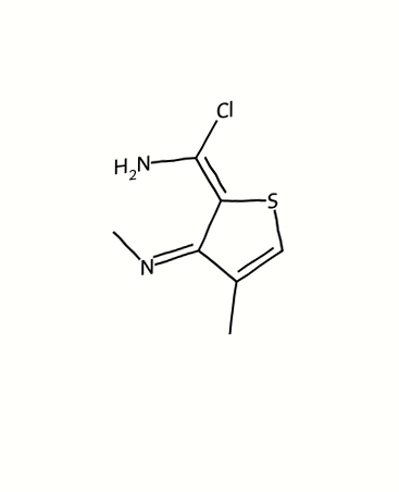 C/N=C1/C(C)=CS/C1=C(/N)Cl